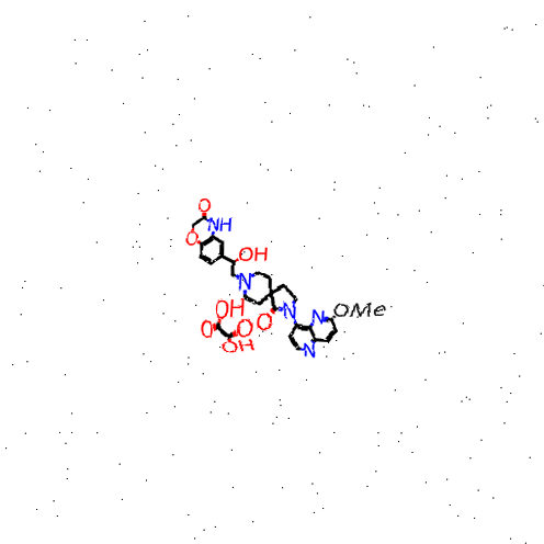 COc1ccc2nccc(N3CCC4(CCN(C[C@H](O)c5ccc6c(c5)NC(=O)CO6)CC4)C3=O)c2n1.O=C(O)C(=O)O